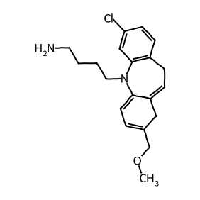 COCC1=CC=C2C(=CCc3ccc(Cl)cc3N2CCCCN)C1